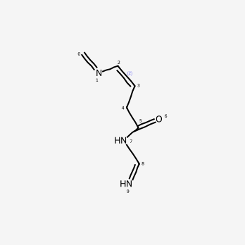 C=N/C=C\CC(=O)NC=N